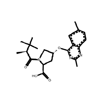 Cc1ccc2nc(C)nc(O[C@@H]3CC(C(=O)O)N(C(=O)[C@@H](C)C(C)(C)C)C3)c2c1